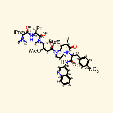 CC[C@H](C)C([C@@H](CC(=O)N1CCC[C@H]1[C@H](OC)[C@@H](C)C(=O)NC(Cc1ccc([N+](=O)[O-])cc1)C(=O)Nc1cnc2ccccc2c1)OC)N(C)C(=O)C(NC(=O)[C@H](C(C)C)N(C)C)C(C)C